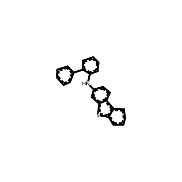 c1ccc(-c2ccccc2Nc2ccc3c(c2)sc2ccccc23)cc1